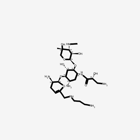 CN[C@@H]1[C@@H](O)[C@@H](O[C@@H]2[C@@H](O)[C@H](O[C@H]3OC(CNCCCN)=CC[C@H]3N)[C@@H](N)C[C@H]2NC(=O)[C@H](O)CN)OC[C@]1(C)O